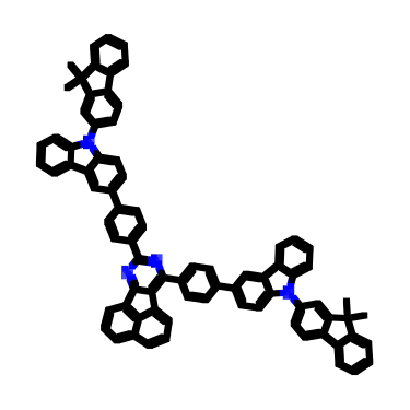 CC1(C)c2ccccc2-c2ccc(-n3c4ccccc4c4cc(-c5ccc(-c6nc(-c7ccc(-c8ccc9c(c8)c8ccccc8n9-c8ccc9c(c8)C(C)(C)c8ccccc8-9)cc7)c7c(n6)-c6cccc8cccc-7c68)cc5)ccc43)cc21